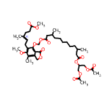 COC(=O)CC/C(C)=C/Cc1c(OC)c(C)c2c(c1OCOC(=O)CC(C)CCCCCCC(C)CC(=O)OC(COC(C)=O)COC(C)=O)C(=O)OC2